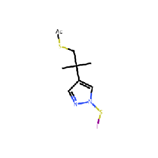 CC(=O)SCC(C)(C)c1cnn(SI)c1